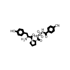 N#Cc1ccc(C(=O)NS(=O)(=O)NC(=O)[C@@H]2CCCN2C(=O)[C@H](N)Cc2ccc(O)cc2)cc1